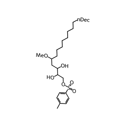 CCCCCCCCCCCCCCCCCCC(CC(O)C(O)COS(=O)(=O)c1ccc(C)cc1)OC